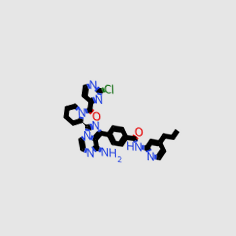 CCCc1ccnc(NC(=O)c2ccc(-c3nc([C@@H]4CCCCN4C(=O)c4ccnc(Cl)n4)n4ccnc(N)c34)cc2)c1